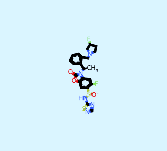 C[C@H](c1ccccc1CN1CCC(F)C1)n1c(=O)oc2cc([S+]([O-])Nc3ncns3)c(F)cc21